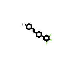 CCC1CCC(/C=C/C2CCC(c3cc(F)c(F)c(F)c3)CC2)CC1